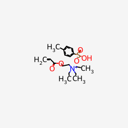 C=CC(=O)OCC[N+](CC)(CC)CC.Cc1ccc(S(=O)(=O)O)cc1